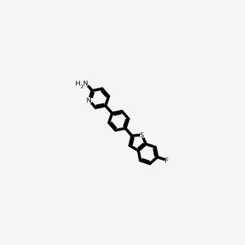 Nc1ccc(-c2ccc(-c3cc4ccc(F)cc4s3)cc2)cn1